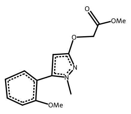 COC(=O)COc1cc(-c2ccccc2OC)n(C)n1